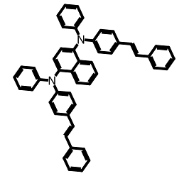 C(=Cc1ccc(N(c2ccccc2)c2ccc(N(c3ccccc3)c3ccc(C=Cc4ccccc4)cc3)c3ccccc23)cc1)c1ccccc1